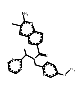 Cc1cc2cc(C(=O)N(Cc3ccc(OC(F)(F)F)cn3)C(C)c3ncccn3)ccc2nc1N